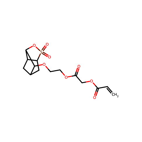 C=CC(=O)OCC(=O)OCCOC1C2CC3C1OS(=O)(=O)C3C2